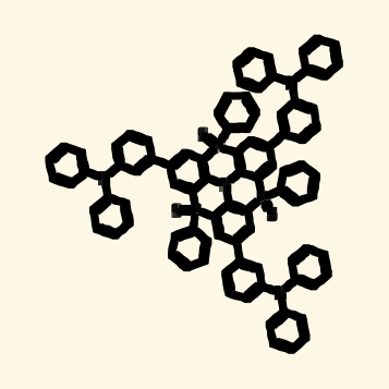 S=P1(c2ccccc2)c2cc(-c3cccc(N(c4ccccc4)c4ccccc4)c3)cc3c2N2c4c1cc(-c1cccc(N(c5ccccc5)c5ccccc5)c1)cc4P(=S)(c1ccccc1)c1cc(-c4cccc(N(c5ccccc5)c5ccccc5)c4)cc(c12)P3(=S)c1ccccc1